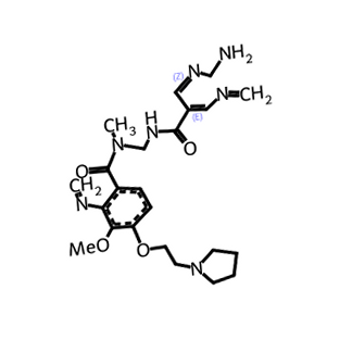 C=N/C=C(\C=N/CN)C(=O)NCN(C)C(=O)c1ccc(OCCN2CCCC2)c(OC)c1N=C